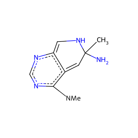 CNc1ncnc2c1=CC(C)(N)NC=2